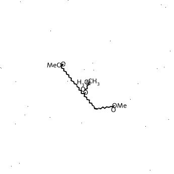 COC(=O)CCCCCCC/C=C\CCCCCCCCC(CCCCCCCCCCCCCCCCCC(=O)OC)OC(=O)CCCN(C)C